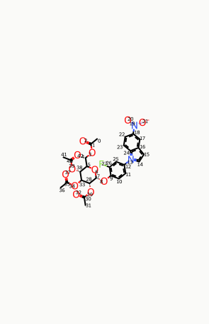 CC(=O)OCC1O[C@H](Oc2ccc(-n3ccc4cc([N+](=O)[O-])ccc43)cc2F)[C@H](OC(C)=O)C(OC(C)=O)[C@@H]1OC(C)=O